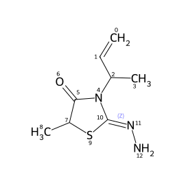 C=CC(C)N1C(=O)C(C)S/C1=N\N